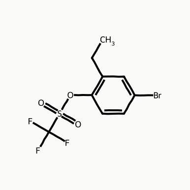 CCc1cc(Br)ccc1OS(=O)(=O)C(F)(F)F